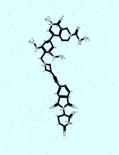 CNC(=O)N1CCc2c(-c3cc(OC)c(CN4CC(C#Cc5ccc6c(c5)C(=O)N(C5CCC(=O)NC5=O)C6=O)C4)c(OC)c3)cn(C)c(=O)c2C1